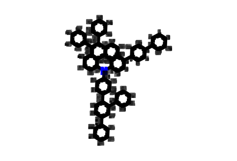 c1ccc(-c2ccc(-c3ccc(N(c4ccc(-c5ccc(-c6ccccc6)cc5-c5ccccc5)cc4)c4cccc5c(-c6ccccc6)c(-c6ccccc6)c6ccccc6c45)cc3)cc2)cc1